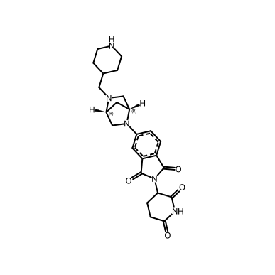 O=C1CCC(N2C(=O)c3ccc(N4C[C@H]5C[C@@H]4CN5CC4CCNCC4)cc3C2=O)C(=O)N1